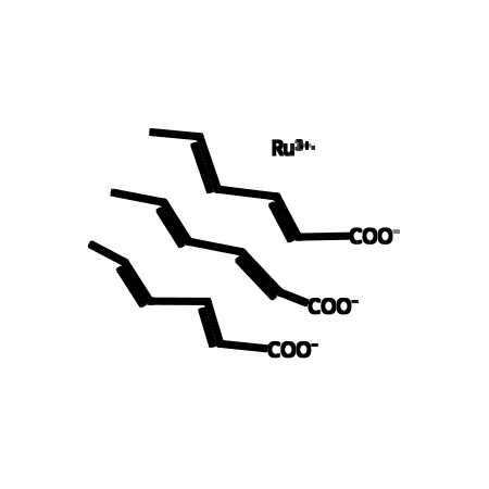 CC=CC=CC(=O)[O-].CC=CC=CC(=O)[O-].CC=CC=CC(=O)[O-].[Ru+3]